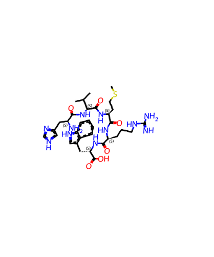 CSCC[C@H](NC(=O)[C@@H](NC(=O)[C@@H](N)Cc1c[nH]cn1)C(C)C)C(=O)N[C@@H](CCCNC(=N)N)C(=O)N[C@@H](Cc1c[nH]c2ccccc12)C(=O)O